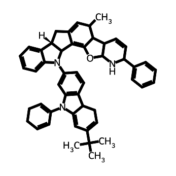 CC1C=C2C[C@H]3c4ccccc4N(c4ccc5c(c4)N(C4=CCCC=C4)C4=CC(C(C)(C)C)=CCC45)C3C2=C2OC3NC(c4ccccc4)C=CC3C21